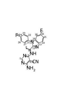 C[C@H](Nc1ncnc(N)c1C#N)c1nc2ccc(F)cc2n1-c1ccc(F)cc1